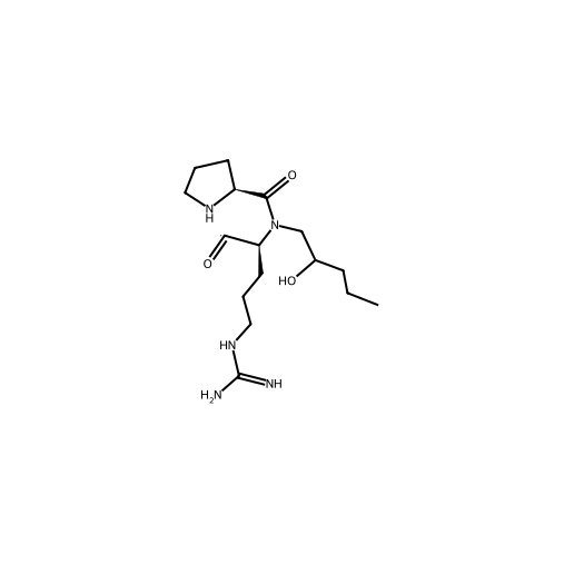 CCCC(O)CN(C(=O)[C@@H]1CCCN1)[C@H]([C]=O)CCCNC(=N)N